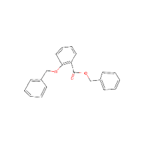 O=C(OCc1ccccc1)c1ccc[c]c1OCc1ccccc1